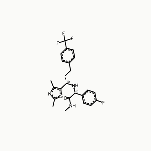 CNC(=O)[C@@H](N[C@@H](CCc1ccc(C(F)(F)F)cc1)c1sc(C)nc1C)c1ccc(F)cc1